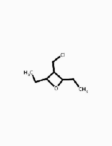 CCC1OC(CC)C1CCl